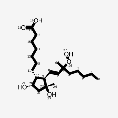 CCCCCC(C)(/C=C/[C@@H]1[C@@H](CCCCCCC(=O)O)[C@@H](O)C[C@@]1(C)O)OO